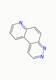 c1cnc2ccc3nnccc3c2c1